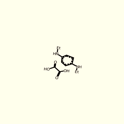 CCNc1ccc(NCC)cc1.O=C(O)C(=O)O